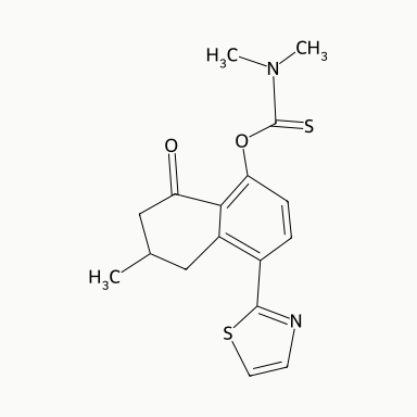 CC1CC(=O)c2c(OC(=S)N(C)C)ccc(-c3nccs3)c2C1